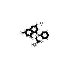 NC(=O)CN(c1ccccc1)c1cc(C(=O)O)cc2cc(Cl)cc(Cl)c12